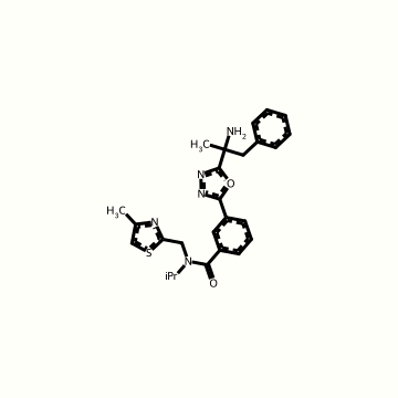 Cc1csc(CN(C(=O)c2cccc(-c3nnc(C(C)(N)Cc4ccccc4)o3)c2)C(C)C)n1